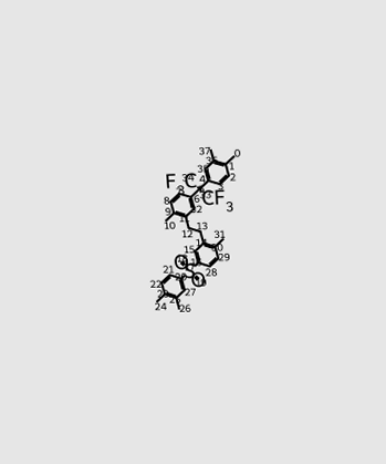 Cc1ccc(C(c2ccc(C)c(CCc3cc(S(=O)(=O)c4ccc(C)c(C)c4)ccc3C)c2)(C(F)(F)F)C(F)(F)F)cc1C